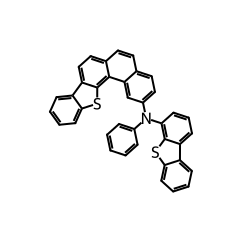 c1ccc(N(c2ccc3ccc4ccc5c6ccccc6sc5c4c3c2)c2cccc3c2sc2ccccc23)cc1